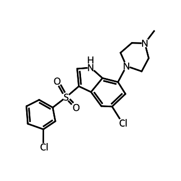 CN1CCN(c2cc(Cl)cc3c(S(=O)(=O)c4cccc(Cl)c4)c[nH]c23)CC1